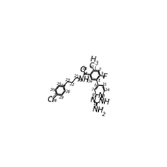 Cc1cc(F)c(C2=CC3=NC(N)NN3C=C2)cc1C(=O)NCCCc1ccc(Cl)cc1